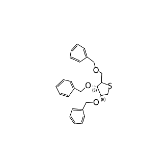 c1ccc(COCC2SC[C@H](OCc3ccccc3)[C@@H]2OCc2ccccc2)cc1